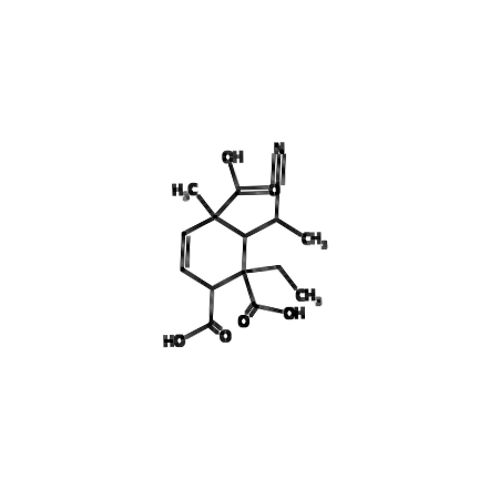 CCC1(C(=O)O)C(C(=O)O)C=CC(C)(C(=O)O)C1C(C)C#N